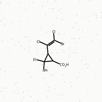 CCCC1(CC)C(C(=O)O)C1C(Cl)=C(Cl)Br